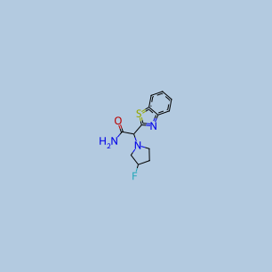 NC(=O)C(c1nc2ccccc2s1)N1CCC(F)C1